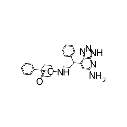 Nc1cc(C(CCNC23CCC(c4ccccc4)(CC2)C(=O)C3)c2ccccc2)c2nn[nH]c2n1